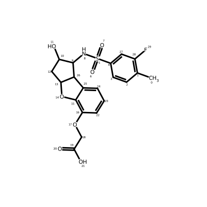 Cc1ccc(S(=O)(=O)NC2C(O)CC3Oc4c(OCC(=O)O)cccc4C32)cc1F